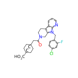 O=C(CC12CCC(C(=O)O)(CC1)CC2)N1CCc2c(n(Cc3ccc(Cl)cc3F)c3ncccc23)C1